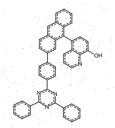 Oc1ccc(-c2c3ccccc3cc3ccc(-c4ccc(-c5nc(-c6ccccc6)nc(-c6ccccc6)n5)cc4)cc23)c2cccnc12